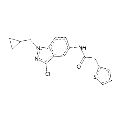 O=C(Cc1cccs1)Nc1ccc2c(c1)c(Cl)nn2CC1CC1